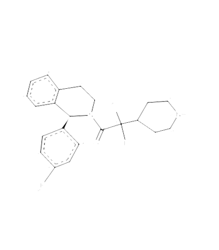 O=C(N1CCc2ccccc2[C@@H]1c1ccc(F)cc1)C(F)(F)C1CCNCC1